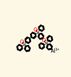 [Al+3].[O-][Si](c1ccccc1)(c1ccccc1)c1ccccc1.[O-][Si](c1ccccc1)(c1ccccc1)c1ccccc1.[O-][Si](c1ccccc1)(c1ccccc1)c1ccccc1